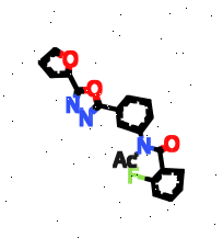 CC(=O)N(C(=O)c1ccccc1F)c1cccc(-c2nnc(-c3ccco3)o2)c1